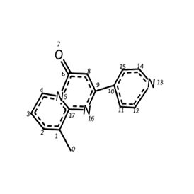 Cc1cccn2c(=O)cc(-c3ccncc3)nc12